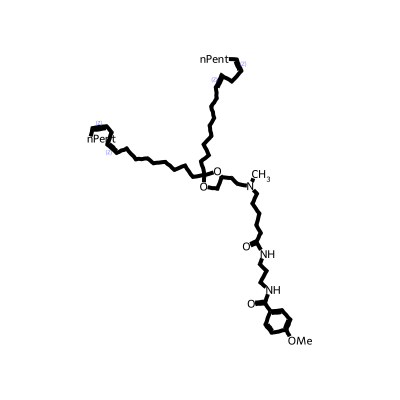 CCCCC/C=C\C/C=C\CCCCCCCCC1(CCCCCCCC/C=C\C/C=C\CCCCC)OCC(CCN(C)CCCCCC(=O)NCCCNC(=O)c2ccc(OC)cc2)O1